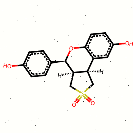 O=S1(=O)C[C@@H]2[C@H](C1)c1cc(O)ccc1O[C@@H]2c1ccc(O)cc1